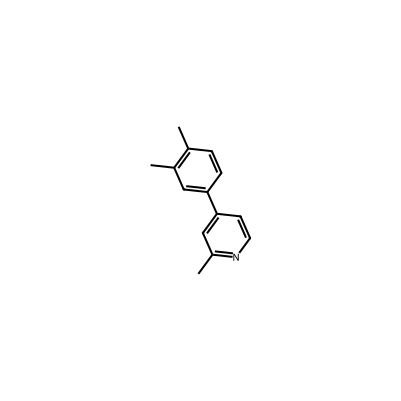 Cc1cc(-c2ccc(C)c(C)c2)ccn1